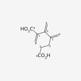 C=C(CCC(=O)O)C(=C)C(=C)C(=O)O